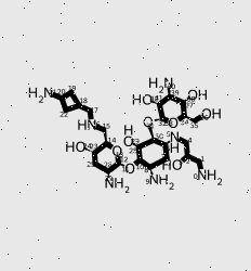 NCC(O)CN[C@@H]1C[C@H](N)C(O[C@H]2O[C@H](CNCC3CC(N)C3)[C@@H](O)C[C@H]2N)[C@H](O)[C@H]1O[C@H]1O[C@H](CO)[C@@H](O)[C@H](N)[C@H]1O